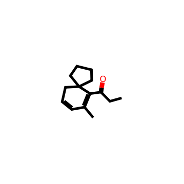 CCC(=O)C1=C(C)C=CCC12CCCC2